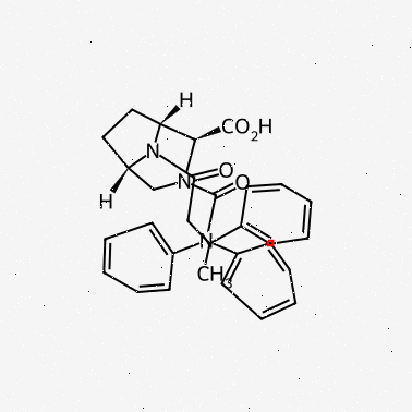 CC(CC(=O)N1[C@H]2CC[C@@H]1[C@@H](C(=O)O)N(C(=O)N(c1ccccc1)c1ccccc1)C2)c1ccccc1